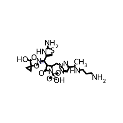 CC(NCCCN)c1cnn(CC2C(/C(=N\OC3(C(=O)O)CC3)C3=CSC(N)N3)C(=O)N2S(=O)(=O)O)n1